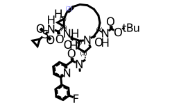 CN(C[C@@H]1C[C@H]2C(=O)N[C@]3(C(=O)NS(=O)(=O)C4CC4)C[C@H]3/C=C\CCCCC[C@@H](NC(=O)OC(C)(C)C)C(=O)N2C1)C(=O)c1cccc(-c2cccc(F)c2)n1